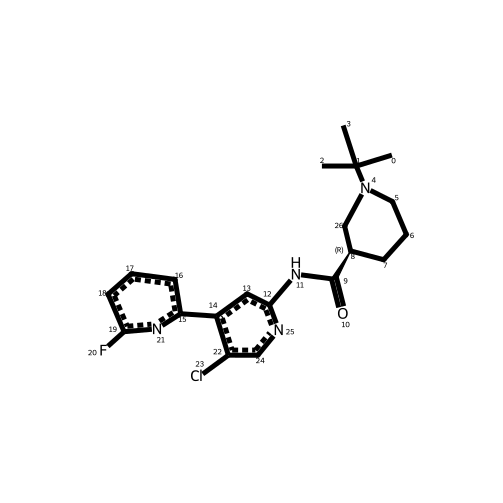 CC(C)(C)N1CCC[C@@H](C(=O)Nc2cc(-c3cccc(F)n3)c(Cl)cn2)C1